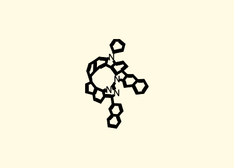 C1=CC23C=Cc4ccc5c(-c6ccc7ccccc7c6)nc(nc5c42)-n2c4cc5ccccc5cc4c4ccc5c(c6cc(c1cc6n5-c1ccccc1)C3)c42